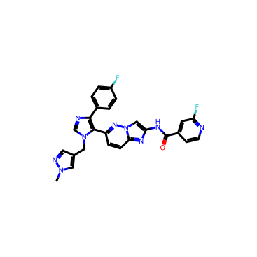 Cn1cc(Cn2cnc(-c3ccc(F)cc3)c2-c2ccc3nc(NC(=O)c4ccnc(F)c4)cn3n2)cn1